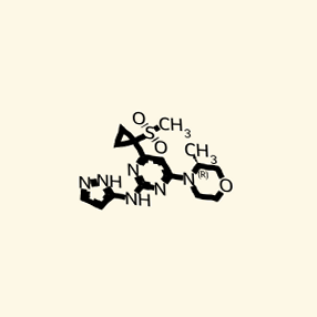 C[C@@H]1COCCN1c1cc(C2(S(C)(=O)=O)CC2)nc(Nc2ccn[nH]2)n1